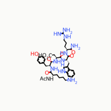 CC(=O)N[C@@H](CCCCN)C(=O)N[C@@H](Cc1ccc(O)cc1)C(=O)N[C@@H](CC(=O)O)C(=O)N[C@@H](Cc1c[nH]c2ccccc12)C(=O)N[C@@H](CCCNC(=N)N)C(N)=O